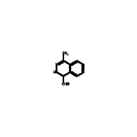 CC1=NNC(C=O)c2ccccc21